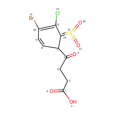 O=C(O)CCC(=O)C1C=CC(Br)=C(Cl)C1=S(=O)=O